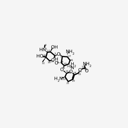 CN[C@@H]1[C@@H](O)[C@@H](O[C@@H]2[C@@H](O)[C@H](O[C@H]3OC(COC(N)=O)=CC[C@H]3N)[C@@H](N)C[C@H]2N)OC[C@]1(C)O